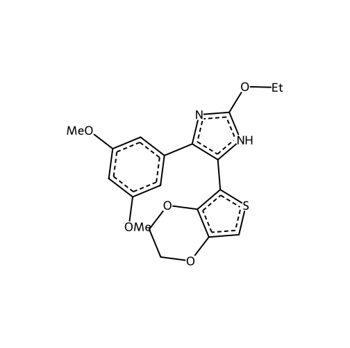 CCOc1nc(-c2cc(OC)cc(OC)c2)c(-c2scc3c2OCCO3)[nH]1